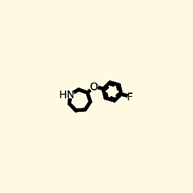 Fc1ccc(OC2CCCCNC2)cc1